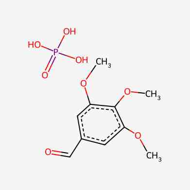 COc1cc(C=O)cc(OC)c1OC.O=P(O)(O)O